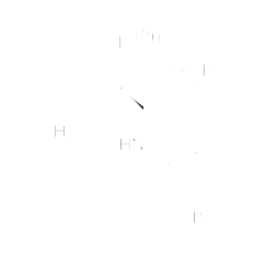 CC(C)(C)OC(=O)NC[C@@]1(C(C(=O)O)C(C)(C)C)C[C@H]2CC=C[C@H]21